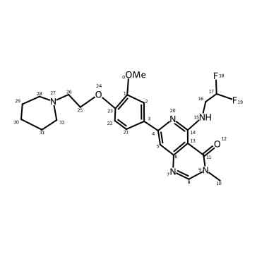 COc1cc(-c2cc3ncn(C)c(=O)c3c(NCC(F)F)n2)ccc1OCCN1CCCCC1